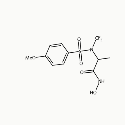 COc1ccc(S(=O)(=O)N(C(C)C(=O)NO)C(F)(F)F)cc1